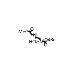 COC(=O)CNCCNC(=O)OC(C)(C)C.Cl